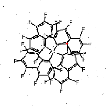 Fc1cc2[c]([Al-]([c]3c(F)c(F)c(F)c4c(F)c(F)c(F)cc34)([c]3c(F)c(F)c(F)c4c(F)c(F)c(F)cc34)[c]3c(F)c(F)c(F)c4c(F)c(F)c(F)cc34)c(F)c(F)c(F)c2c(F)c1F